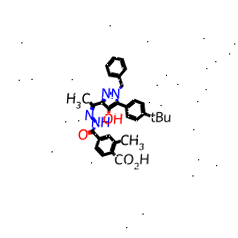 CC(=NNC(=O)c1ccc(C(=O)O)c(C)c1)c1nn(Cc2ccccc2)c(-c2ccc(C(C)(C)C)cc2)c1O